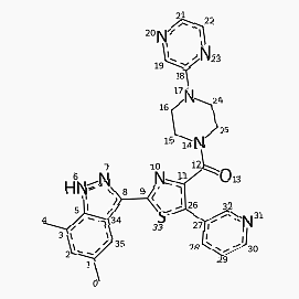 Cc1cc(C)c2[nH]nc(-c3nc(C(=O)N4CCN(c5cnccn5)CC4)c(-c4cccnc4)s3)c2c1